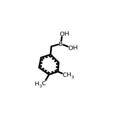 Cc1ccc(CB(O)O)cc1C